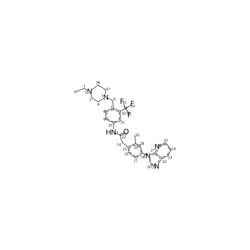 CCN1CCN(Cc2ccc(NC(=O)Cc3ccc(-n4cnc5cccnc54)cc3C)cc2C(F)(F)F)CC1